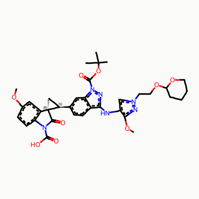 COc1ccc2c(c1)[C@]1(C[C@H]1c1ccc3c(Nc4cn(CCOC5CCCCO5)nc4OC)nn(C(=O)OC(C)(C)C)c3c1)C(=O)N2C(=O)O